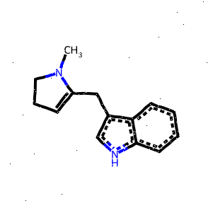 CN1CCC=C1Cc1c[nH]c2ccccc12